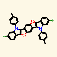 Cc1ccc(-n2c3cc(F)ccc3c3oc4cc5c(cc4c32)oc2c3ccc(F)cc3n(-c3ccc(C)cc3)c52)cc1